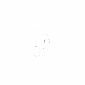 CC1(C)C(=O)N(c2ccc(C#N)c(Cl)c2)C(=S)N1c1ccc(Cl)c(NC(=O)CCCC(=O)O)c1